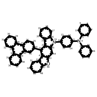 c1ccc(N(c2ccccc2)c2ccc(-n3c4ccccc4c4c(-c5ccc6c7ccccc7c7ccccc7c6c5)c5c(cc43)oc3ccccc35)cc2)cc1